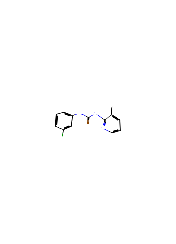 Cc1cccnc1NC(=S)Nc1cccc(Cl)c1